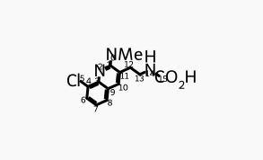 CNc1nc2c(Cl)cccc2cc1CCNC(=O)O